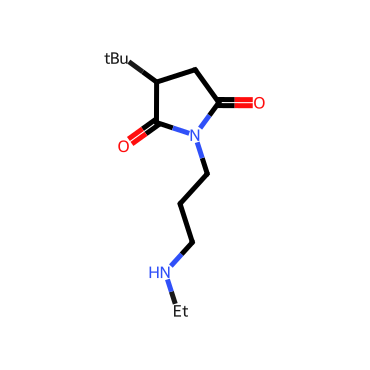 CCNCCCN1C(=O)CC(C(C)(C)C)C1=O